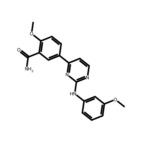 COc1cccc(Nc2nccc(-c3ccc(OC)c(C(N)=O)c3)n2)c1